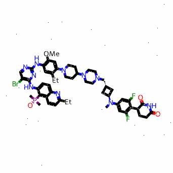 CCc1ccc2c(P(C)(C)=O)c(Nc3nc(Nc4cc(CC)c(N5CCC(N6CCN(C[C@H]7C[C@H](N(C)c8cc(F)c(C9CCC(=O)NC9=O)c(F)c8)C7)CC6)CC5)cc4OC)ncc3Br)ccc2n1